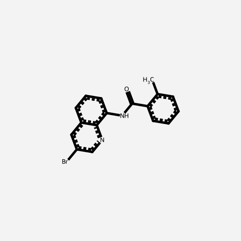 Cc1ccccc1C(=O)Nc1cccc2cc(Br)cnc12